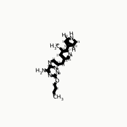 CCCCOc1nc(N)c2ncc(Cc3cnc(C4C[C@H]5C[C@@H]4CN5)c(C)c3)n2n1